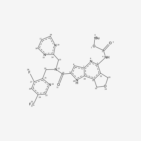 CC(C)(C)OC(=O)Nc1nc2cc(C(=O)N(Cc3ncccn3)Cc3ncc(C(F)(F)F)cc3F)[nH]c2c2c1COC2